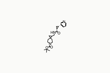 CC(C)(C)OC(=O)N1CCC2(CC1)CC2CNC(=O)[C@H]1C[C@@H]1c1cccnc1